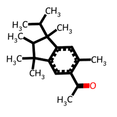 CC(=O)c1cc2c(cc1C)C(C)(C(C)C)C(C)C2(C)C